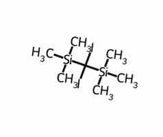 C[Si](C)(C)C(I)(I)[Si](C)(C)C